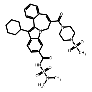 CN(C)S(=O)(=O)NC(=O)c1ccc2c(C3CCCCC3)c3n(c2c1)CC(C(=O)N1CCN(S(C)(=O)=O)CC1)=Cc1ccccc1-3